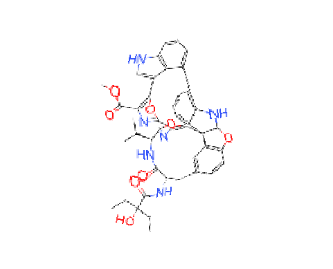 CCC(O)(CC)C(=O)N[C@H]1Cc2ccc3c(c2)C24c5cccc(c5NC2O3)-c2cccc3[nH]cc(c23)-c2oc(nc2C(=O)OC)-c2nc(oc24)[C@H](C(C)C)NC1=O